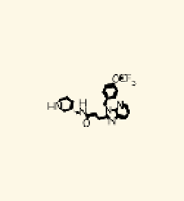 O=C(CCc1nc2cccnc2n1Cc1ccc(OC(F)(F)F)cc1)NC[C@H]1CCCNC1